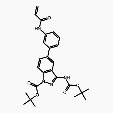 C=CC(=O)Nc1cccc(-c2ccc3c(c2)c(NC(=O)OC(C)(C)C)nn3C(=O)OC(C)(C)C)c1